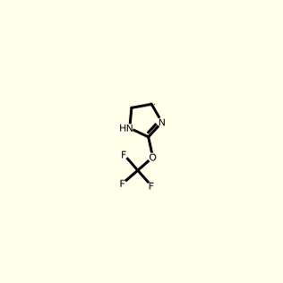 FC(F)(F)OC1=N[CH]CN1